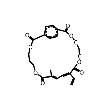 C=C/C1=C\C=C(/C)C(=O)OCCCOC(=O)c2ccc(cc2)C(=O)OCCCOC1=O